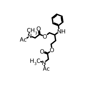 CC(=O)N(C)CC(=O)OCCC(COC(=O)CN(C)C(C)=O)Nc1ccccc1